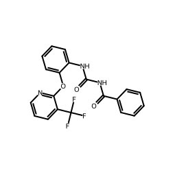 O=C(NC(=O)c1ccccc1)Nc1ccccc1Oc1ncccc1C(F)(F)F